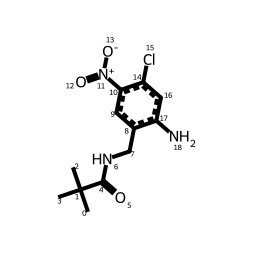 CC(C)(C)C(=O)NCc1cc([N+](=O)[O-])c(Cl)cc1N